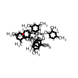 Cc1ccc(OP(N[PH](N=[PH](Oc2ccc(C)cc2C)Oc2ccc(C)cc2C)(Oc2ccc(C)cc2C)Oc2ccc(C)cc2C)Oc2ccc(C)cc2C)c(C)c1